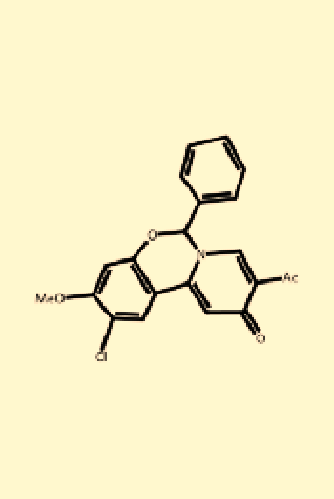 COc1cc2c(cc1Cl)-c1cc(=O)c(C(C)=O)cn1C(c1ccccc1)O2